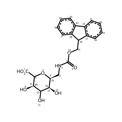 O=C(NC[C@@H]1OC(C(=O)O)[C@H](O)C(O)[C@@H]1O)OCC1c2ccccc2-c2ccccc21